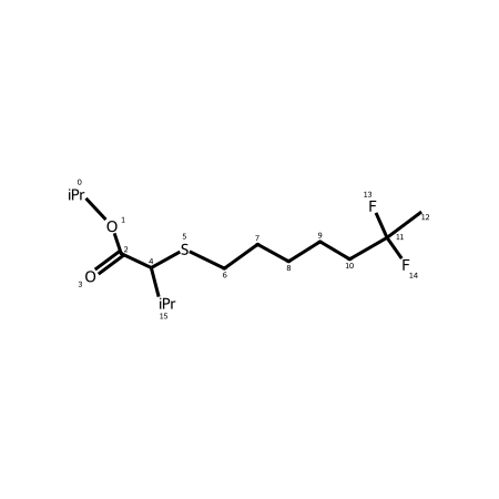 CC(C)OC(=O)C(SCCCCCC(C)(F)F)C(C)C